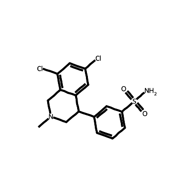 CN1Cc2c(Cl)cc(Cl)cc2C(c2cccc(S(N)(=O)=O)c2)C1